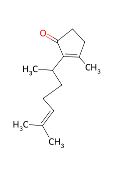 CC(C)=CCCC(C)C1=C(C)CCC1=O